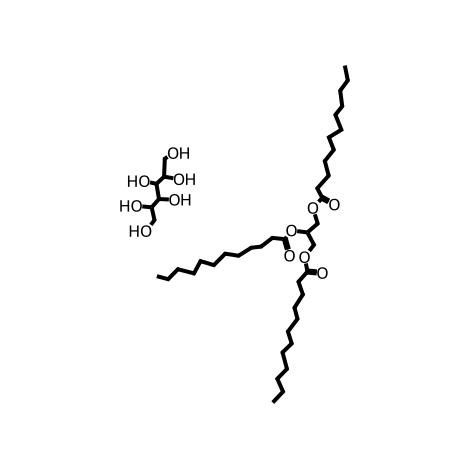 CCCCCCCCCCCC(=O)OCC(COC(=O)CCCCCCCCCCC)OC(=O)CCCCCCCCCCC.OCC(O)C(O)C(O)C(O)CO